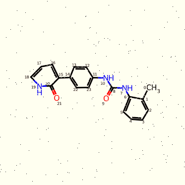 Cc1ccccc1NC(=O)Nc1ccc(-c2ccc[nH]c2=O)cc1